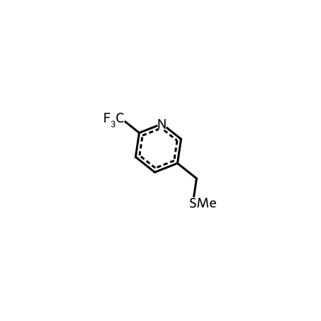 CSCc1ccc(C(F)(F)F)nc1